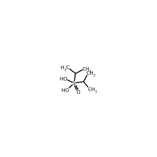 CC(C)S(=O)(O)(O)C(C)C